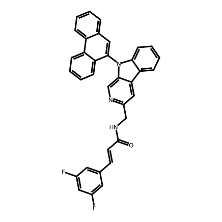 O=C(/C=C/c1cc(F)cc(F)c1)NCc1cc2c3ccccc3n(-c3cc4ccccc4c4ccccc34)c2cn1